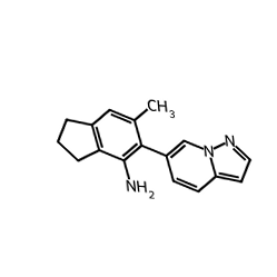 Cc1cc2c(c(N)c1-c1ccc3ccnn3c1)CCC2